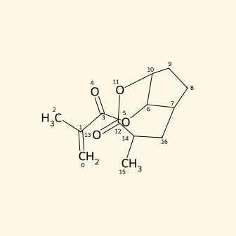 C=C(C)C(=O)OC1C2CCC1OC(=O)C(C)C2